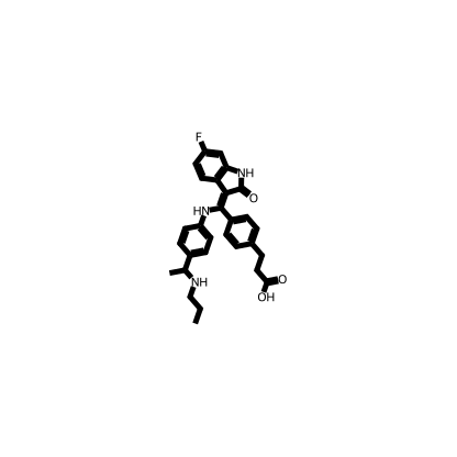 CCCNC(C)c1ccc(NC(=C2C(=O)Nc3cc(F)ccc32)c2ccc(CCC(=O)O)cc2)cc1